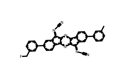 Cc1cccc(-c2ccc3c(c2)/c(=N\C#N)c2nc4c(nc23)/c(=N\C#N)c2cc(-c3cccc(CF)c3)ccc24)c1